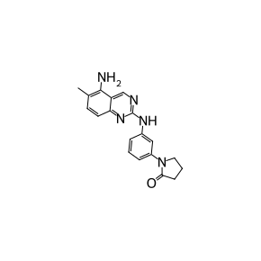 Cc1ccc2nc(Nc3cccc(N4CCCC4=O)c3)ncc2c1N